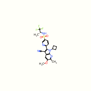 COc1cc2c(C#N)c(-c3ccc(S(=O)(=O)N[C@H](C)C(F)(F)F)cn3)n(C3CCC3)c2nc1C